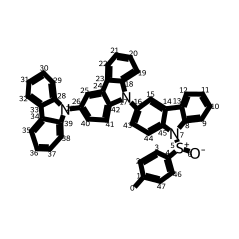 Cc1ccc([S+]([O-])n2c3ccccc3c3cc(-n4c5ccccc5c5cc(-n6c7ccccc7c7ccccc76)ccc54)ccc32)cc1